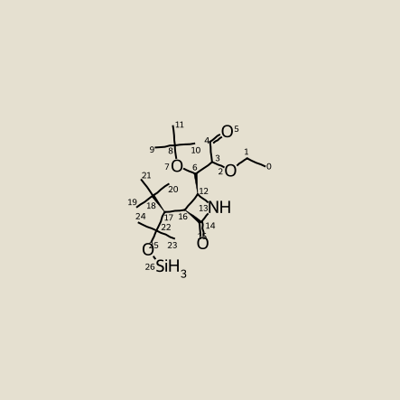 CCOC(C=O)C(OC(C)(C)C)[C@H]1NC(=O)[C@H]1[C@H](C(C)(C)C)C(C)(C)O[SiH3]